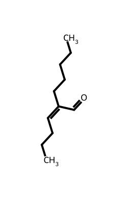 CCCC=C(C=O)CCCCC